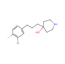 OC1(CCCc2ccc(F)c(Cl)c2)CCNCC1